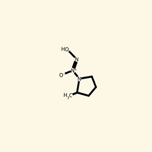 CC1CCCN1/[N+]([O-])=N/O